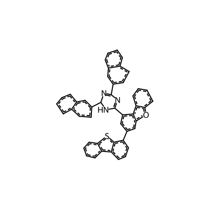 c1ccc2cc(C3=NC(c4ccc5ccccc5c4)NC(c4cc(-c5cccc6c5sc5ccccc56)cc5oc6ccccc6c45)=N3)ccc2c1